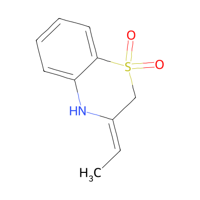 C/C=C1/CS(=O)(=O)c2ccccc2N1